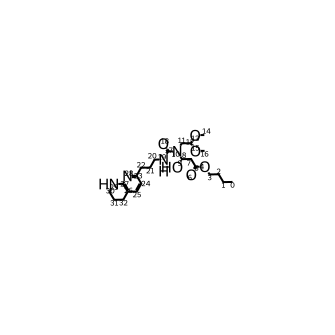 CCCCOC(=O)C[C@@H](O)N(CC(OC)OC)C(=O)NCCCc1ccc2c(n1)NCCC2